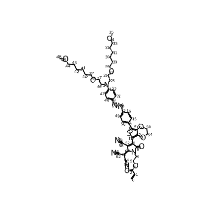 C=CC(=O)OCCN1C(=O)C(c2sc(-c3ccc(/N=N/c4ccc(N(CCOCCCCCCOC)CCOCCCCCCOC)cc4)cc3)c3c2OCCO3)=C(C#N)C1=C(C#N)C#N